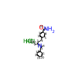 C[C@@H](CCc1ccc(C(N)=O)cc1)[N@]1CC1c1ccccc1.Cl.Cl